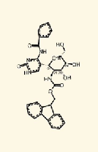 O=C(N[C@@H]1[C@@H](O)[C@H](O)[C@@H](CO)O[C@H]1c1c[nH]c(=O)nc1NC(=O)c1ccccc1)OCC1c2ccccc2-c2ccccc21